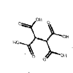 O=C(O)C(C(=O)O)C(C(=O)O)C(=O)O